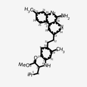 COC(=O)C(CC(C)C)Nc1ccc(CCc2cnc3c(N)nc4cc(C)ccc4c3c2)c(C)c1